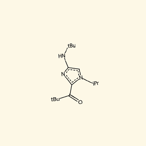 CC(C)n1cc(NC(C)(C)C)nc1C(=O)C(C)(C)C